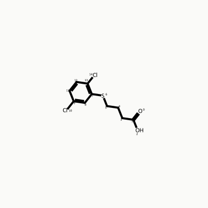 O=C(O)CCCSc1cc(Cl)ccc1Cl